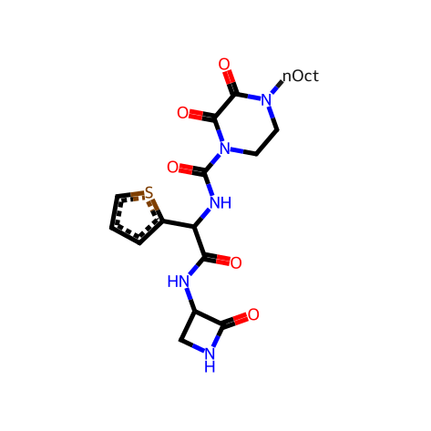 CCCCCCCCN1CCN(C(=O)NC(C(=O)NC2CNC2=O)c2cccs2)C(=O)C1=O